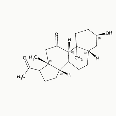 CC(=O)C1CC[C@H]2C3CC[C@H]4C[C@H](O)CCC4(C)[C@H]3C(=O)C[C@@]12C